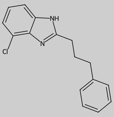 Clc1cccc2[nH]c(CCCc3ccccc3)nc12